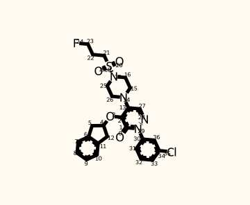 O=c1c(OC2Cc3ccccc3C2)c(N2CCN(S(=O)(=O)CCCF)CC2)cnn1-c1cccc(Cl)c1